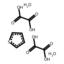 O.O.O=C(O)C(=O)O.O=C(O)C(=O)O.c1ccsc1